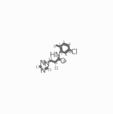 Cc1ccc(Cl)cc1NC(=O)[C@H](C)Cn1cncn1